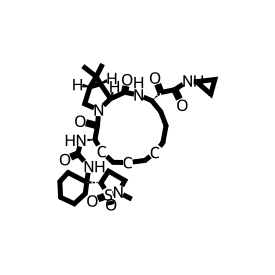 CN1CC[C@@H](C2(NC(=O)N[C@H]3CCCCCCCC[C@@H](C(=O)C(=O)NC4CC4)NC(=O)[C@@H]4[C@@H]5[C@H](CN4C3=O)C5(C)C)CCCCC2)S1(=O)=O